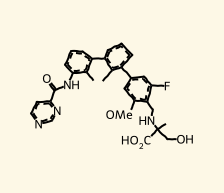 COc1cc(-c2cccc(-c3cccc(NC(=O)c4ccncn4)c3C)c2C)cc(F)c1CNC(C)(CO)C(=O)O